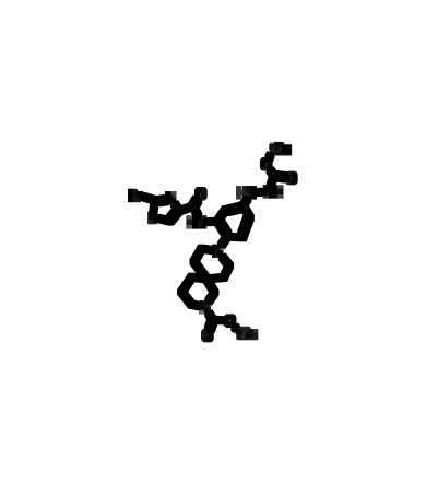 CC(C)(C)OC(=O)NNc1ccc(N2CCC3(CCCN(C(=O)OC(C)(C)C)C3)CC2)c(NC(=O)c2csc(Br)n2)c1